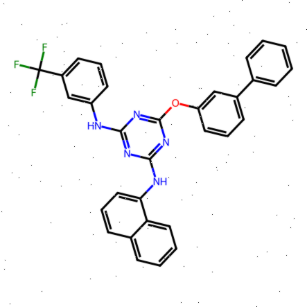 FC(F)(F)c1cccc(Nc2nc(Nc3cccc4ccccc34)nc(Oc3cccc(-c4ccccc4)c3)n2)c1